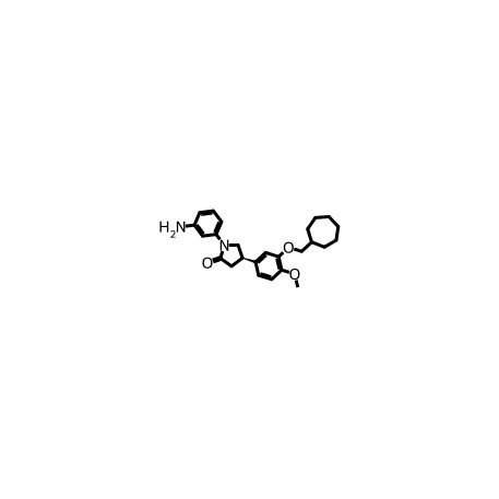 COc1ccc([C@H]2CC(=O)N(c3cccc(N)c3)C2)cc1OCC1CCCCCC1